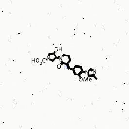 COc1cc(/C=C2\CCCN(C3CN(C(=O)O)CC3O)C2=O)ccc1-n1cnc(C)c1